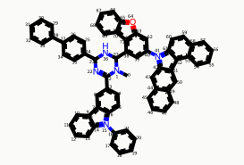 CN1C(c2ccc3c(c2)c2ccccc2n3-c2ccccc2)=NC(c2ccc(-c3ccccc3)cc2)NC1c1cc(-n2c3cc4ccccc4cc3c3c4ccccc4ccc32)cc2oc3ccccc3c12